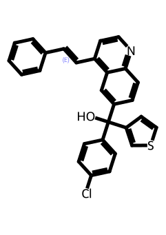 OC(c1ccc(Cl)cc1)(c1ccsc1)c1ccc2nccc(/C=C/c3ccccc3)c2c1